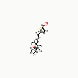 CCC(CC)(CCC=C(C)c1ccc(C=O)s1)O[Si](CC)(CC)CC